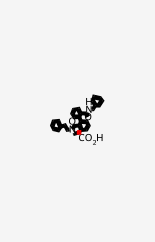 O=C(O)CCN(CCc1ccccc1)C(=O)c1ccccc1-c1ccccc1C(=O)NCc1ccccc1